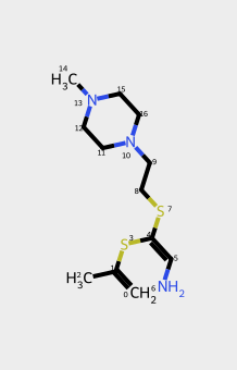 C=C(C)S/C(=C\N)SCCN1CCN(C)CC1